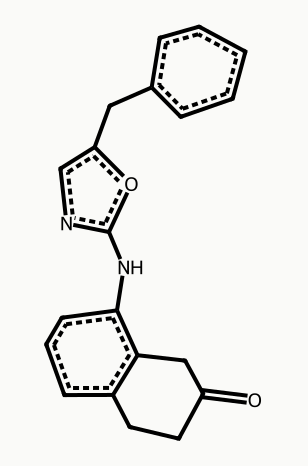 O=C1CCc2cccc(Nc3ncc(Cc4ccccc4)o3)c2C1